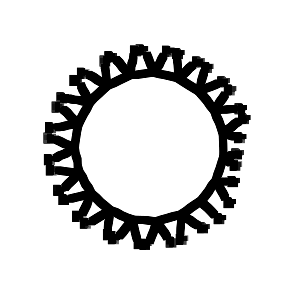 BrC1C(Br)(Br)C(Br)(Br)C(Br)(Br)C(Br)(Br)C(Br)(Br)C(Br)(Br)C(Br)(Br)C(Br)(Br)C(Br)(Br)C(Br)(Br)C(Br)(Br)C(Br)(Br)C(Br)(Br)C(Br)(Br)C(Br)(Br)C(Br)(Br)C(Br)(Br)C1(Br)Br